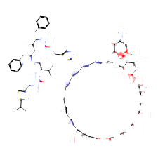 CC(C)c1nc(CN(C)C(=O)N[C@H](C(=O)N[C@@H](Cc2ccccc2)C[C@H](O)[C@H](Cc2ccccc2)NC(=O)OCc2cncs2)C(C)C)cs1.C[C@@H]1[C@H](O)[C@@H](C)/C=C/C=C/CC/C=C/C=C/C=C/C=C/[C@H](O[C@@H]2O[C@H](C)[C@@H](O)[C@H](N)[C@@H]2O)C[C@@H]2O[C@](O)(C[C@@H](O)[C@H](O)CC[C@@H](O)C[C@@H](O)C[C@@H](O)CC(=O)O[C@H]1C)C[C@H](O)[C@H]2C(=O)O